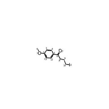 COc1ccc(C(=O)CCCI)cc1